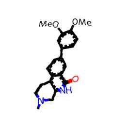 COc1ccc(-c2ccc3c4c([nH]c(=O)c3c2)CN(C)CC4)cc1OC